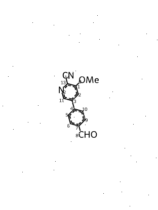 COc1cc(-c2ccc(C=O)cc2)cnc1C#N